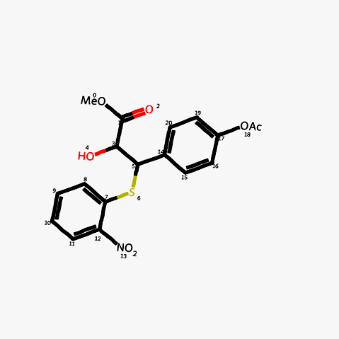 COC(=O)C(O)C(Sc1ccccc1[N+](=O)[O-])c1ccc(OC(C)=O)cc1